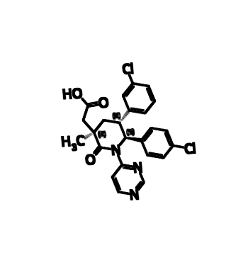 C[C@]1(CC(=O)O)C[C@H](c2cccc(Cl)c2)[C@@H](c2ccc(Cl)cc2)N(c2ccncn2)C1=O